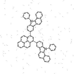 c1ccc(-n2c3ccc(-c4cc(-c5ccc6c(c5)c5ccc7ccccc7c5n6-c5ccccc5)c5ccc6cccc7ccc4c5c76)cc3c3ccc4ccccc4c32)cc1